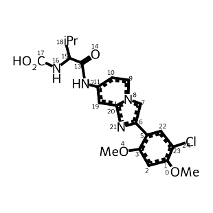 COc1cc(OC)c(-c2cn3ccc(NC(=O)C(NC(=O)O)C(C)C)cc3n2)cc1Cl